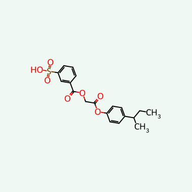 CCC(C)c1ccc(OC(=O)COC(=O)c2cccc(S(=O)(=O)O)c2)cc1